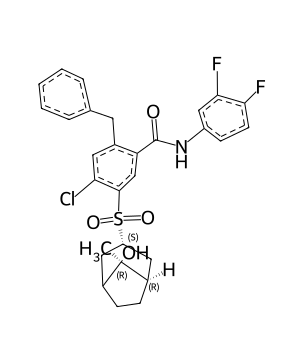 C[C@@]1(O)C2CC[C@@H]1C[C@@H](S(=O)(=O)c1cc(C(=O)Nc3ccc(F)c(F)c3)c(Cc3ccccc3)cc1Cl)C2